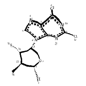 CC[C@H]1O[C@@H](n2cnc3c(Cl)nc(Cl)nc32)[C@@H](F)[C@@H]1C